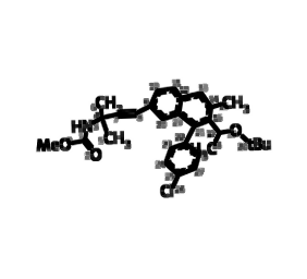 COC(=O)NC(C)(C)C#Cc1ccc2cc(C)c(C(C)OC(C)(C)C)c(-c3ccc(Cl)cc3)c2c1